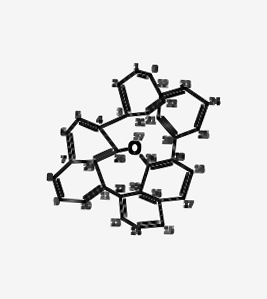 c1ccc(-c2ccc3cccc4c5cccc6ccc(-c7ccccc7)c(oc2c34)c65)cc1